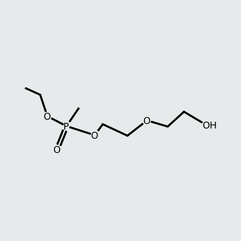 CCOP(C)(=O)OCCOCCO